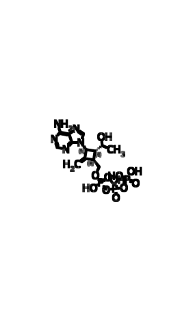 C=C1[C@@H](n2cnc3c(N)ncnc32)[C@H](C(C)O)[C@H]1COP(=O)(O)OP(=O)(O)OP(=O)(O)O